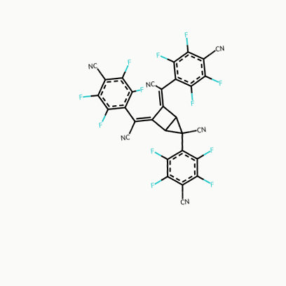 N#C/C(=C1\C(=C(\C#N)c2c(F)c(F)c(C#N)c(F)c2F)C2C1C2(C#N)c1c(F)c(F)c(C#N)c(F)c1F)c1c(F)c(F)c(C#N)c(F)c1F